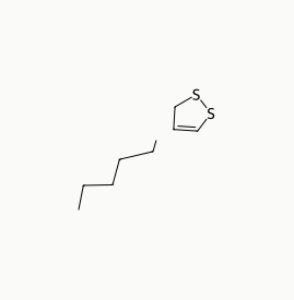 C1=CSSC1.CCCCCC